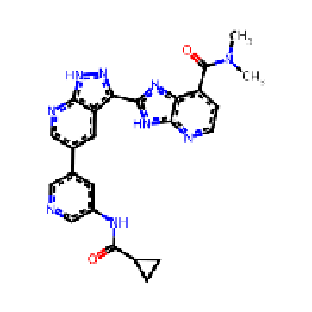 CN(C)C(=O)c1ccnc2[nH]c(-c3n[nH]c4ncc(-c5cncc(NC(=O)C6CC6)c5)cc34)nc12